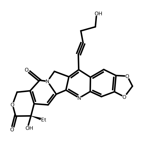 CC[C@@]1(O)C(=O)OCc2c1cc1n(c2=O)Cc2c-1nc1cc3c(cc1c2C#CCCO)OCO3